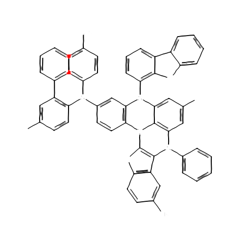 Cc1cc2c3c(c1)N(c1cccc4c1oc1ccccc14)c1cc(N(c4ccc(C(C)(C)C)cc4)c4ccc(C(C)(C)C)cc4-c4ccccc4)ccc1B3c1sc3ccc(C(C)(C)C)cc3c1N2c1ccccc1